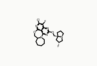 Fc1c(Cl)nc2c3c(nc(OC[C@@]45CCCN4C[C@H](F)C5)nc13)N1CCCCCC1CO2